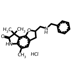 Cc1cc2c(c3c1NC(=O)C3(C)C)OC(CNCc1ccccc1)C2.Cl